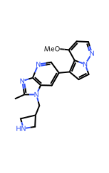 COc1ccnn2ccc(-c3cnc4nc(C)n(CC5CNC5)c4c3)c12